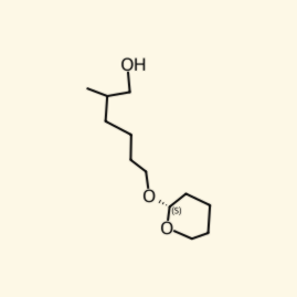 CC(CO)CCCCO[C@@H]1CCCCO1